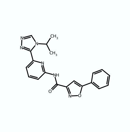 CC(C)n1cnnc1-c1cccc(NC(=O)c2cc(-c3ccccc3)on2)n1